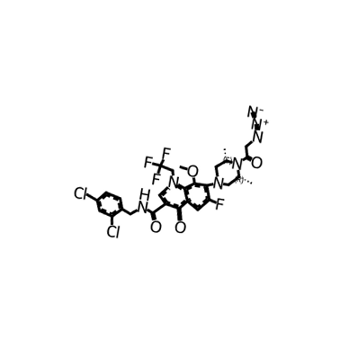 COc1c(N2C[C@@H](C)N(C(=O)CN=[N+]=[N-])[C@@H](C)C2)c(F)cc2c(=O)c(C(=O)NCc3ccc(Cl)cc3Cl)cn(CC(F)(F)F)c12